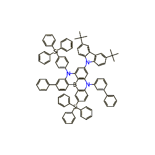 CC(C)(C)c1ccc2c(c1)c1cc(C(C)(C)C)ccc1n2-c1cc2c3c(c1)N(c1ccc([Si](c4ccccc4)(c4ccccc4)c4ccccc4)cc1)c1cc(-c4ccccc4)ccc1B3c1cc([Si](c3ccccc3)(c3ccccc3)c3ccccc3)ccc1N2c1cccc(-c2ccccc2)c1